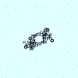 Cc1ccccc1N(C(=O)CNC(=O)[C@H](N)Cc1ccccc1)[C@H](CC(C)C)C(=O)N[C@@H]1CCCCNC(=O)CNC(=O)[C@H](NC(=O)[C@@H](CC(C)C)NC(=O)[C@@H](Cc2ccccc2)NC(=O)[C@H](N)Cc2ccccc2)CCCCNC(=O)CNC1=O